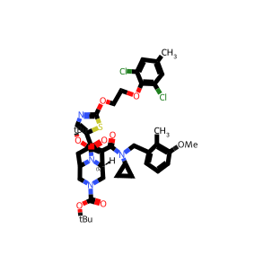 COc1cccc(CN(C(=O)C2=C(c3cnc(OCCOc4c(Cl)cc(C)cc4Cl)s3)CC3CN(C(=O)OC(C)(C)C)C[C@H]2N3C(=O)OC(C)(C)C)C2CC2)c1C